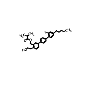 C=C(C)C(=O)OCc1cc(-c2ccc(-c3ccc(CCCCC)cc3F)cc2)ccc1CCO